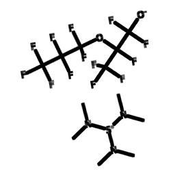 CN(C)[S+](N(C)C)N(C)C.[O-]C(F)(F)C(F)(OC(F)(F)C(F)(F)C(F)(F)F)C(F)(F)F